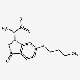 CCCCOc1ccc2c(c1)C(C(C)[N+](=O)[O-])OC2=O